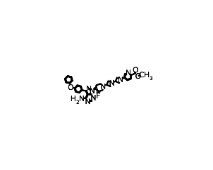 COC(=O)c1ccc(N2CC(N3CC(N4CC[C@@H](n5nc(-c6ccc(Oc7ccccc7)cc6)c6c(N)ncnc65)[C@H](F)C4)C3)C2)cn1